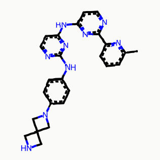 Cc1cccc(-c2nccc(Nc3ccnc(Nc4ccc(N5CC6(CNC6)C5)cc4)n3)n2)n1